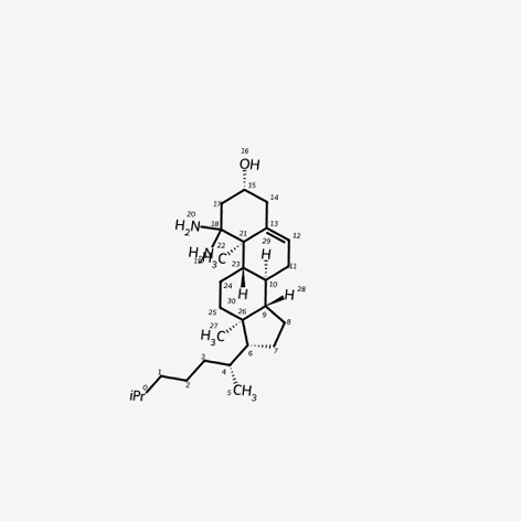 CC(C)CCC[C@@H](C)[C@H]1CC[C@H]2[C@@H]3CC=C4C[C@@H](O)CC(N)(N)[C@]4(C)[C@H]3CC[C@]12C